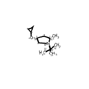 C[C@H]1C[C@@H](OC2CC2)CN1C(C)(C)C